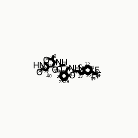 CC(C)[C@H](NC(=O)C[C@H](NC(=O)c1cc2cc(C(F)(F)F)ccc2s1)c1ccccc1)C(=O)[C@@H]1C(=O)NC(=O)[C@H]1C